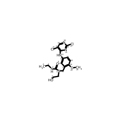 CCNC(=O)N(CCO)Cc1cc(Nc2nc(Cl)ncc2Cl)ccc1OC